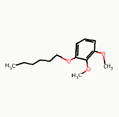 CCCCC[CH]Oc1cccc(OC)c1OC